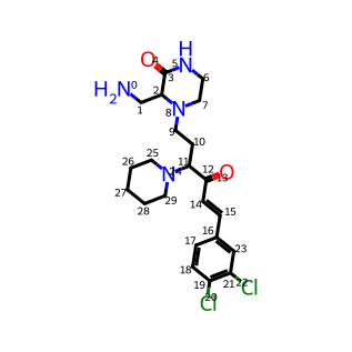 NCC1C(=O)NCCN1CCC(C(=O)/C=C/c1ccc(Cl)c(Cl)c1)N1CCCCC1